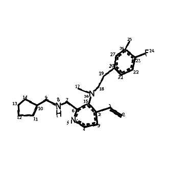 C=Cc1ccnc(CNCC2CCCC2)c1N(C)CCc1ccc(F)c(C)c1